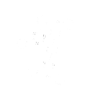 c1ccc(-c2nc(-c3ccccc3)nc(-c3cc(-c4nc(-c5ccccc5)c5oc6ccccc6c5n4)ccc3-c3ccc4oc5ccccc5c4c3)n2)cc1